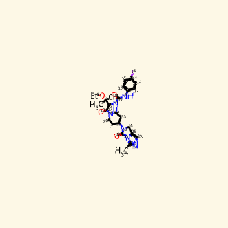 CCOC(C)(C)C(NC(=O)Nc1ccc(I)cc1)C(=O)N1CCC(N2Cc3cnc(C)n3C2=O)CC1